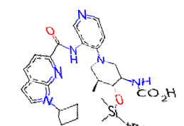 C[C@H]1CN(c2ccncc2NC(=O)c2ccc3ccn(C4CCC4)c3n2)C[C@@H](NC(=O)O)[C@@H]1O[Si](C)(C)C(C)(C)C